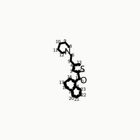 O=C(c1cc(CCN2CCCCC2)cs1)c1cccc2ccccc12